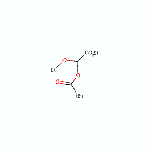 CCOC(=O)C(OCC)OC(=O)C(C)(C)C